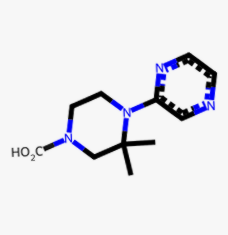 CC1(C)CN(C(=O)O)CCN1c1cnccn1